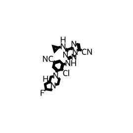 N#Cc1cc(Nc2nc(NC3CC3)c3ncc(C#N)n3n2)c(Cl)c(N2CCN3C[C@@H](F)C[C@H]3C2)c1